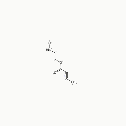 C/C=C/C(=O)OCCNCC